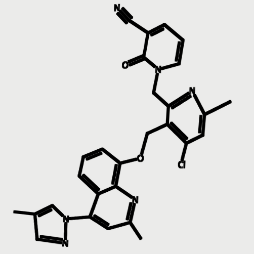 Cc1cnn(-c2cc(C)nc3c(OCc4c(Cl)cc(C)nc4Cn4cccc(C#N)c4=O)cccc23)c1